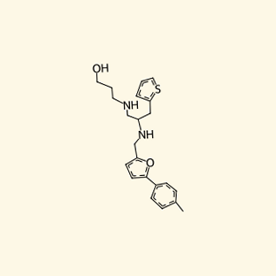 Cc1ccc(-c2ccc(CNC(CNCCCO)Cc3cccs3)o2)cc1